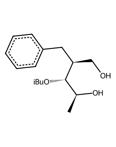 CC(C)CO[C@H]([C@H](CO)Cc1ccccc1)[C@H](C)O